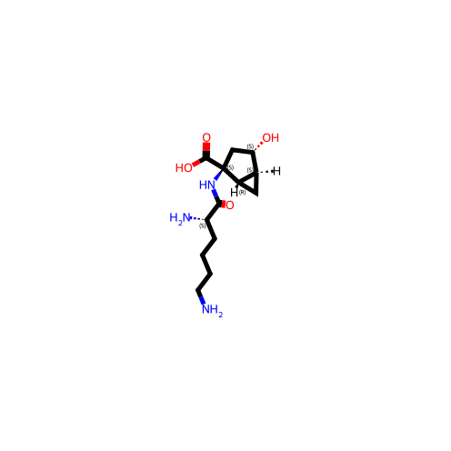 NCCCC[C@H](N)C(=O)N[C@@]1(C(=O)O)C[C@H](O)[C@H]2C[C@H]21